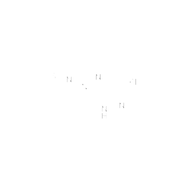 Clc1cnc2[nH]cc(C3=NCCC(N4CCSC4)=N3)c2c1